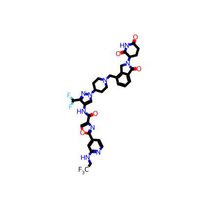 O=C1CCC(N2Cc3c(CN4CCC(n5cc(NC(=O)c6coc(-c7ccnc(NCC(F)(F)F)c7)n6)c(C(F)F)n5)CC4)cccc3C2=O)C(=O)N1